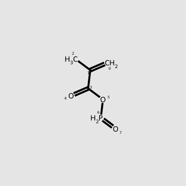 C=C(C)C(=O)O[PH2]=O